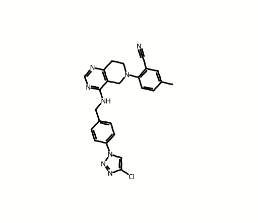 Cc1ccc(N2CCc3ncnc(NCc4ccc(-n5cc(Cl)nn5)cc4)c3C2)c(C#N)c1